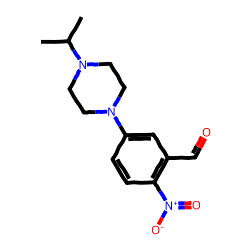 CC(C)N1CCN(c2ccc([N+](=O)[O-])c(C=O)c2)CC1